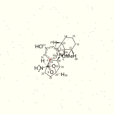 CO[C@]1(c2cccc(C(N)=O)c2)[C@@H]2CCC[C@H]1CN([C@H]1C[C@H]3CC[C@@H](C1)O3)C2.Cl